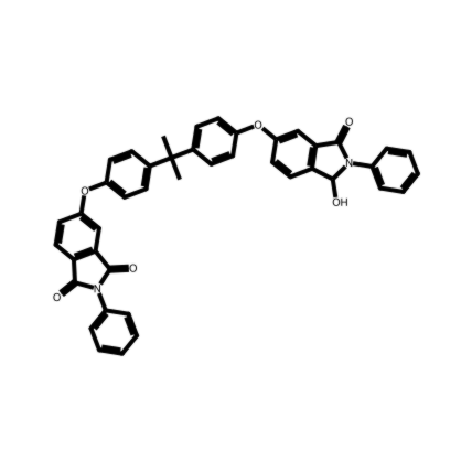 CC(C)(c1ccc(Oc2ccc3c(c2)C(=O)N(c2ccccc2)C3=O)cc1)c1ccc(Oc2ccc3c(c2)C(=O)N(c2ccccc2)C3O)cc1